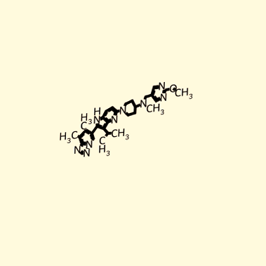 COc1ncc(CN(C)C2CCN(c3ccc4[nH]c(-c5cn6ncnc6c(C)c5C)c(C(C)C)c4n3)CC2)cn1